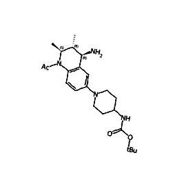 CC(=O)N1c2ccc(N3CCC(NC(=O)OC(C)(C)C)CC3)cc2[C@H](N)[C@@H](C)[C@@H]1C